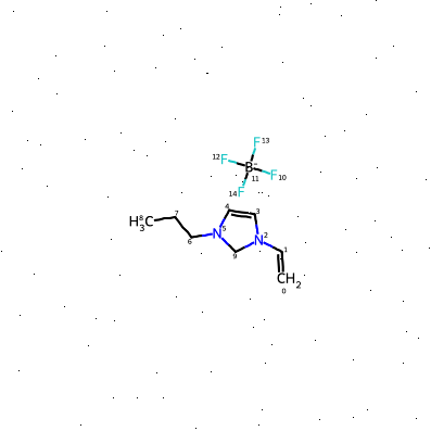 C=CN1C=CN(CCC)C1.F[B-](F)(F)F